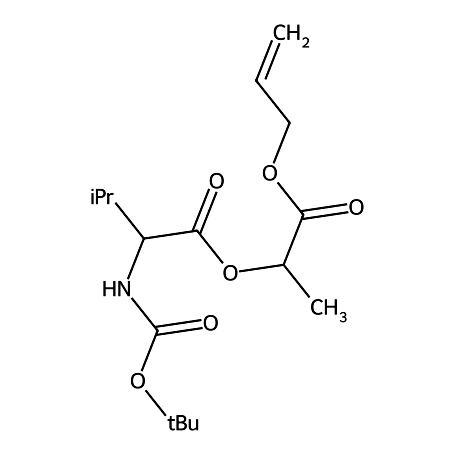 C=CCOC(=O)C(C)OC(=O)C(NC(=O)OC(C)(C)C)C(C)C